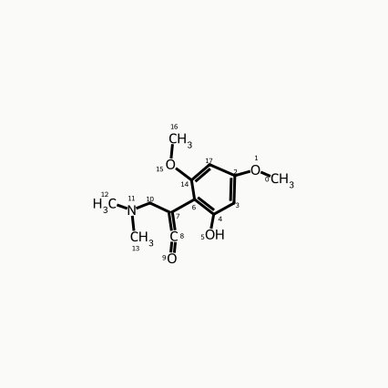 COc1cc(O)c(C(=C=O)CN(C)C)c(OC)c1